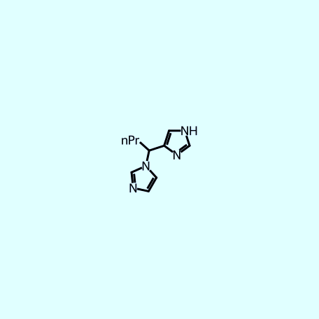 [CH2]CCC(c1c[nH]cn1)n1ccnc1